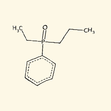 CCCP(=O)(CC)c1ccccc1